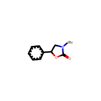 CC(C)(C)N1CC(c2ccccc2)OC1=O